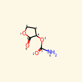 NC(=O)OC1CCOC1=O